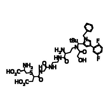 CC(C)(C)[C@H](c1cc(-c2cc(F)ccc2F)cn1Cc1ccccc1)N(CC[C@H](N)C(=O)NCCNC(=O)CNC(=O)C(CC(=O)O)SC[C@H](N)C(=O)O)C(=O)CO